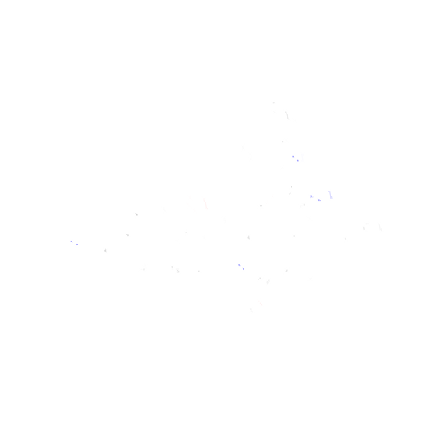 Cc1ccc(C(=O)N2CCC(O)(c3ccc(C#N)cc3)CC2)cc1NC(=O)NC(C)C